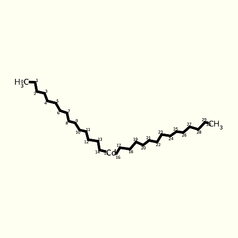 CCCCCCCCCCCCCC[CH2][Cd][CH2]CCCCCCCCCCCCCC